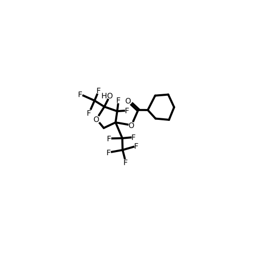 O=C(OC1(C(F)(F)C(F)(F)F)COC(O)(C(F)(F)F)C1(F)F)C1CCCCC1